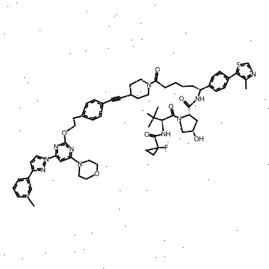 Cc1cccc(-c2ccn(-c3cc(N4CCOCC4)nc(OCCc4ccc(C#CC5CCN(C(=O)CCCC[C@H](NC(=O)[C@@H]6C[C@@H](O)CN6C(=O)[C@@H](NC(=O)C6(F)CC6)C(C)(C)C)c6ccc(-c7scnc7C)cc6)CC5)cc4)n3)n2)c1